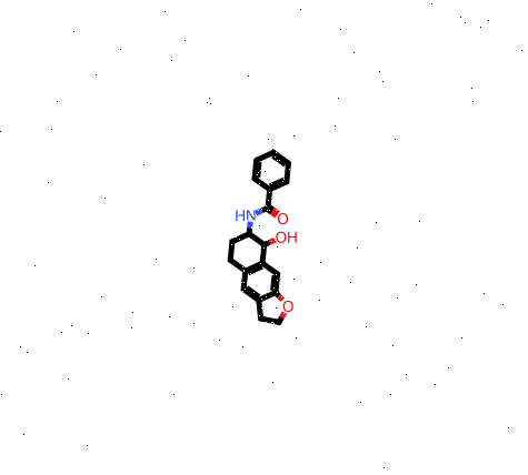 O=C(NC1CCc2cc3c(cc2C1O)OCC3)c1ccccc1